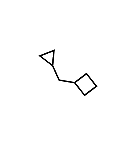 C1CC(C[C]2CC2)C1